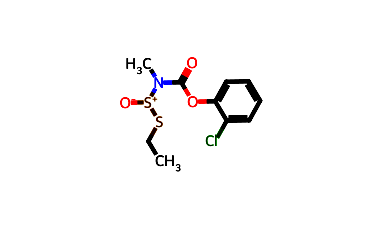 CCS[S+]([O-])N(C)C(=O)Oc1ccccc1Cl